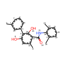 Cc1cccc(-c2c(O)cc(C)c(C(=O)Nc3c(C)cccc3C)c2O)c1